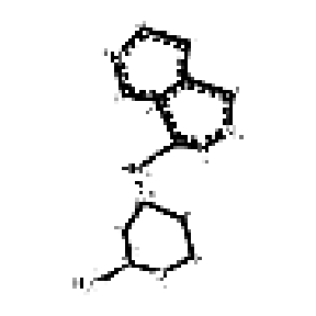 C[C@H]1C[C@H](Nc2nncc3ccncc23)CCO1